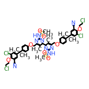 Cc1c(COc2ccc(C(C)(C)c3cc(Cl)c(OCCCl)c(C#N)c3)cc2)nc(NS(C)(=O)=O)nc1-c1nc(NS(C)(=O)=O)nc(COc2ccc(C(C)(C)c3cc(Cl)c(OCCCl)c(C#N)c3)cc2)c1C